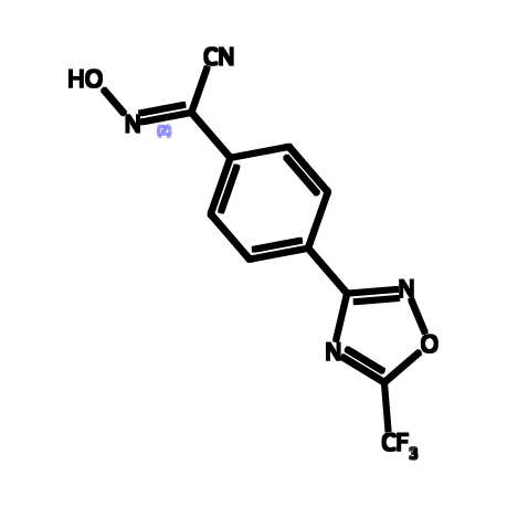 N#C/C(=N\O)c1ccc(-c2noc(C(F)(F)F)n2)cc1